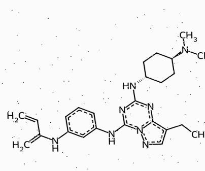 C=CC(=C)Nc1cccc(Nc2nc(N[C@H]3CC[C@H](N(C)C)CC3)nc3c(CC)cnn23)c1